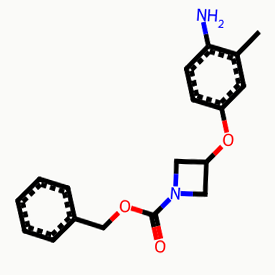 Cc1cc(OC2CN(C(=O)OCc3ccccc3)C2)ccc1N